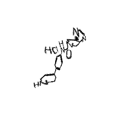 Cl.O=C(Nc1ccc(C2=CCNCC2)cc1)N1Cc2nccnc2C1